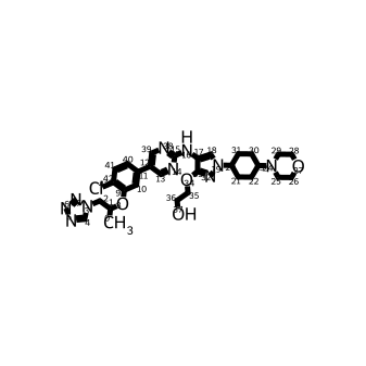 CC(Cn1cnnn1)Oc1cc(-c2cnc(Nc3cn(C4CCC(N5CCOCC5)CC4)nc3OCCO)nc2)ccc1Cl